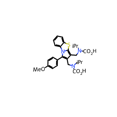 COc1ccc(-c2c(CN(C(=O)O)C(C)C)c(CN(C(=O)O)C(C)C)c3sc4ccccc4n23)cc1